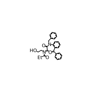 CCC(=O)N(CCO)[C@@H]1O[C@H](c2ccccc2)c2ccccc2N(Cc2ccccc2)C1=O